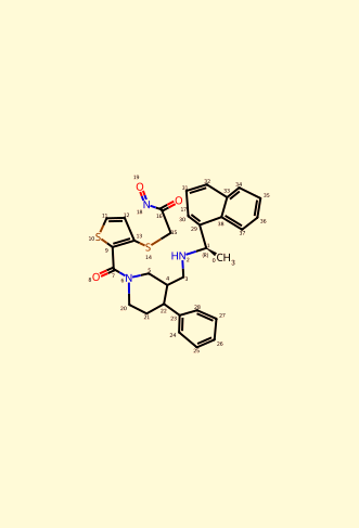 C[C@@H](NCC1CN(C(=O)c2sccc2SCC(=O)N=O)CCC1c1ccccc1)c1cccc2ccccc12